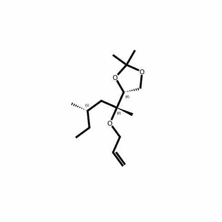 C=CCO[C@](C)(C[C@@H](C)CC)[C@H]1COC(C)(C)O1